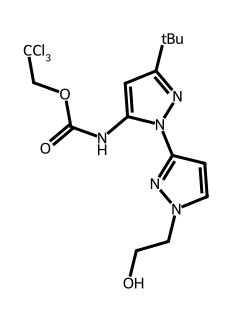 CC(C)(C)c1cc(NC(=O)OCC(Cl)(Cl)Cl)n(-c2ccn(CCO)n2)n1